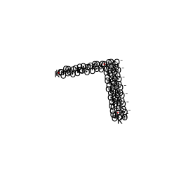 [K+].[K+].[K+].[O]=[Cr](=[O])([O-])[O][Cr](=[O])(=[O])[O-].[O]=[Cr](=[O])([O-])[O][Cr](=[O])(=[O])[O-].[O]=[Cr](=[O])([O-])[O][Cr](=[O])(=[O])[O-].[O]=[Cr](=[O])([O-])[O][Cr](=[O])(=[O])[O-].[O]=[Cr](=[O])([O-])[O][Cr](=[O])(=[O])[O-].[O]=[Cr](=[O])([O-])[O][Cr](=[O])(=[O])[O-].[O]=[Cr](=[O])([O-])[O][Cr](=[O])(=[O])[O-].[O]=[Cr](=[O])([O-])[O][Cr](=[O])(=[O])[O-].[O]=[Cr](=[O])([O-])[O][Cr](=[O])(=[O])[O-].[O]=[Cr](=[O])([O-])[O][Cr](=[O])(=[O])[O-]